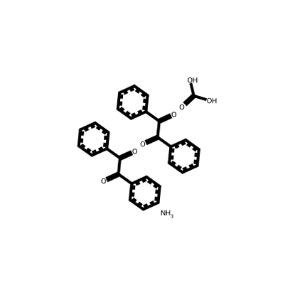 N.O=C(C(=O)c1ccccc1)c1ccccc1.O=C(C(=O)c1ccccc1)c1ccccc1.O=C(O)O